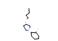 CCCCO[C@@H]1CCN([C@@H]2CCCCC2O)C1